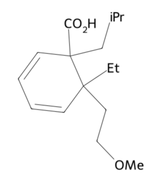 CCC1(CCOC)C=CC=CC1(CC(C)C)C(=O)O